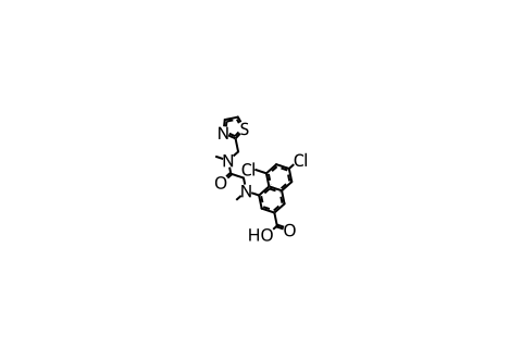 CN(Cc1nccs1)C(=O)CN(C)c1cc(C(=O)O)cc2cc(Cl)cc(Cl)c12